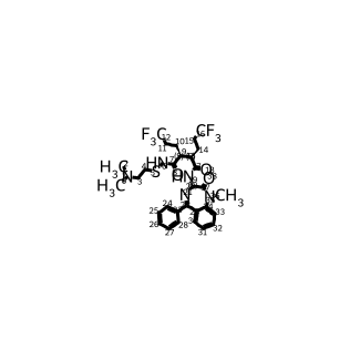 CN(C)CCSNC(=O)[C@@H](CCC(F)(F)F)[C@@H](CCC(F)(F)F)C(=O)N[C@H]1N=C(c2ccccc2)c2ccccc2N(C)C1=O